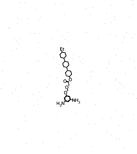 CCC1CCC(C2CCC(C3CCC(OC(=O)COCOc4cc(N)cc(N)c4)CC3)CC2)CC1